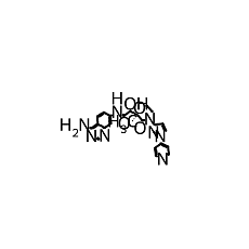 C[C@]1([C@@H](O)C(=O)Nc2ccc3c(N)ncnc3c2)OCCN(c2ccn(-c3ccncc3)n2)C1=O